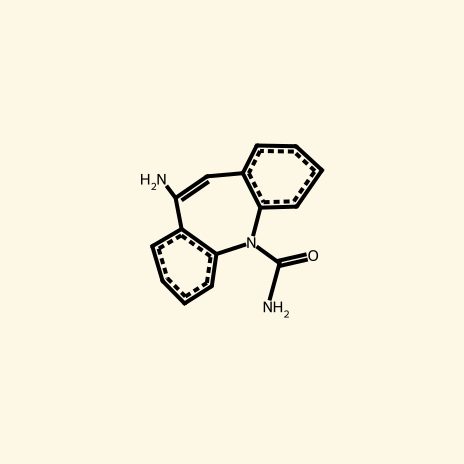 NC(=O)N1c2ccccc2C=C(N)c2ccccc21